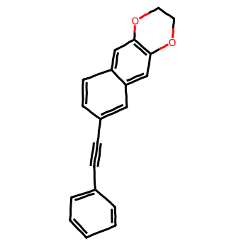 C(#Cc1ccc2cc3c(cc2c1)OCCO3)c1ccccc1